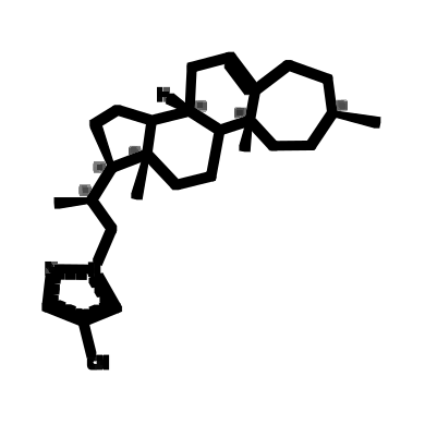 C[C@@H]1CCC2=CC[C@@H]3C(CC[C@@]4(C)C3CC[C@@H]4[C@H](C)Cn3cc(C#N)cn3)[C@@]2(C)CC1